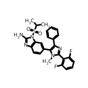 CC(C)S(=O)(=O)n1c(N)nc2ccc(-c3c(-c4ccccc4)nc(-c4c(F)cccc4F)n3C)cc21